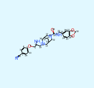 N#Cc1ccc(OCC(N)CN2CC3CC(C2)CN(C(=O)NCc2ccc4c(c2)OCO4)C3)cc1